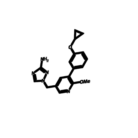 COc1ncc(Cn2cnc(N)n2)cc1-c1cccc(OC2CC2)c1